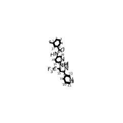 Cc1cccc(C(=O)Nc2ccc(N/C(=C\C(=N)c3cccnc3)C(F)(F)F)nc2)c1